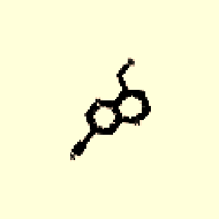 N#Cc1cnc2c(CBr)ccnc2c1